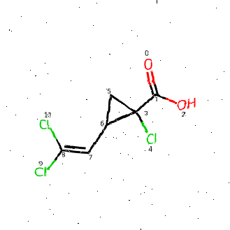 O=C(O)C1(Cl)CC1C=C(Cl)Cl